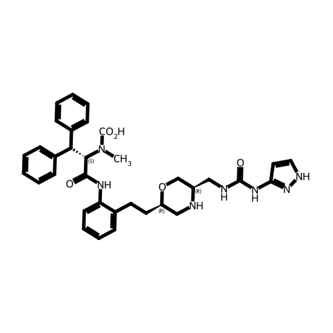 CN(C(=O)O)[C@H](C(=O)Nc1ccccc1CC[C@@H]1CN[C@H](CNC(=O)Nc2cc[nH]n2)CO1)C(c1ccccc1)c1ccccc1